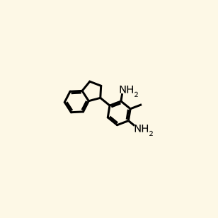 Cc1c(N)ccc(C2CCc3ccccc32)c1N